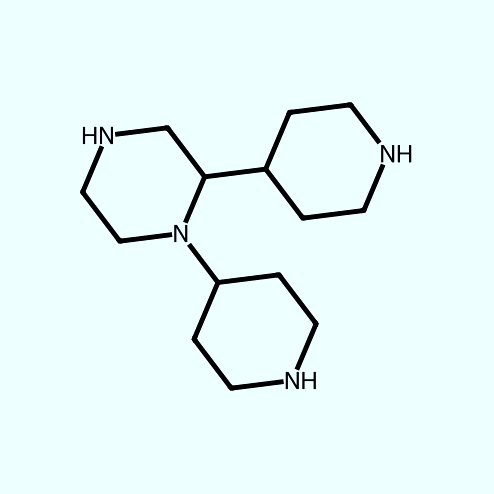 C1CC(C2CNCCN2C2CCNCC2)CCN1